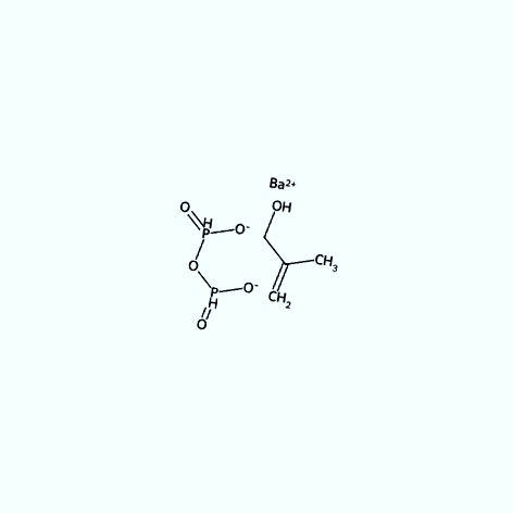 C=C(C)CO.O=[PH]([O-])O[PH](=O)[O-].[Ba+2]